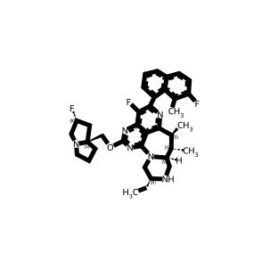 CC[C@@H]1CN2c3nc(OC[C@@]45CCCN4C[C@H](F)C5)nc4c(F)c(-c5cccc6ccc(F)c(C)c56)nc(c34)[C@@H](C)[C@H](C)[C@H]2CN1